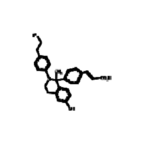 CC(C)CCc1ccc(N2CCc3cc(O)ccc3C2(C)c2ccc(C=CC(=O)O)cc2)cc1